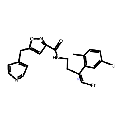 CC/C=C(/CCNC(=O)c1cc(Cc2ccncc2)on1)c1cc(Cl)ccc1C